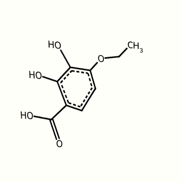 CCOc1ccc(C(=O)O)c(O)c1O